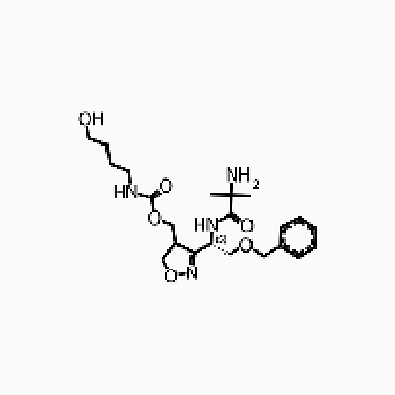 CC(C)(N)C(=O)N[C@H](COCc1ccccc1)C1=NOCC1COC(=O)NCCCCO